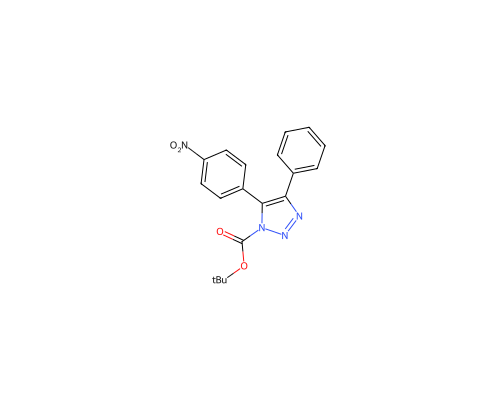 CC(C)(C)OC(=O)n1nnc(-c2ccccc2)c1-c1ccc([N+](=O)[O-])cc1